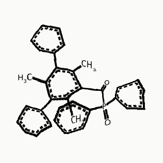 Cc1c(C(=O)P(=O)(c2ccccc2)c2ccccc2)c(C)c(-c2ccccc2)c(C)c1-c1ccccc1